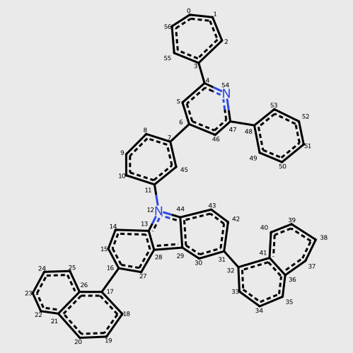 c1ccc(-c2cc(-c3cccc(-n4c5ccc(-c6cccc7ccccc67)cc5c5cc(-c6cccc7ccccc67)ccc54)c3)cc(-c3ccccc3)n2)cc1